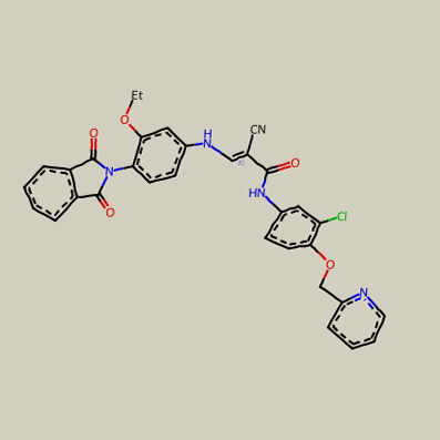 CCOc1cc(N/C=C(\C#N)C(=O)Nc2ccc(OCc3ccccn3)c(Cl)c2)ccc1N1C(=O)c2ccccc2C1=O